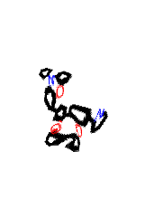 c1ccc(N2c3ccccc3Oc3c(-c4ccc5c(c4)Oc4ccccc4-c4ccccc4Oc4cc(-c6ccccn6)ccc4-5)cccc32)cc1